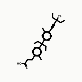 CCC(O)(C#Cc1ccc(C(CC)(CC)c2ccc(CCC(=O)O)c(C)c2)cc1C)CC